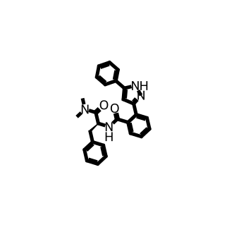 CN(C)C(=O)[C@H](Cc1ccccc1)NC(=O)c1ccccc1-c1cc(-c2ccccc2)[nH]n1